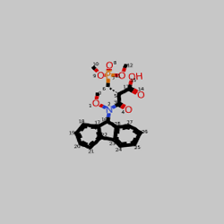 CON(C(=O)[C@H](CP(=O)(OC)OC)C(=O)O)C1c2ccccc2-c2ccccc21